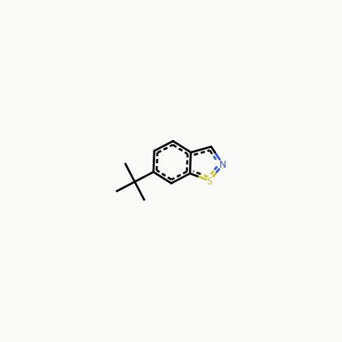 CC(C)(C)c1ccc2cnsc2c1